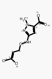 Cn1nc(NOCC=C(Cl)Cl)cc1C(=O)Cl